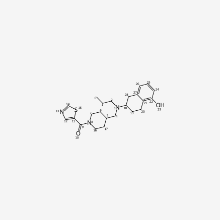 CCCN(CC1CCN(C(=O)c2cncs2)CC1)C1CCc2c(O)cccc2C1